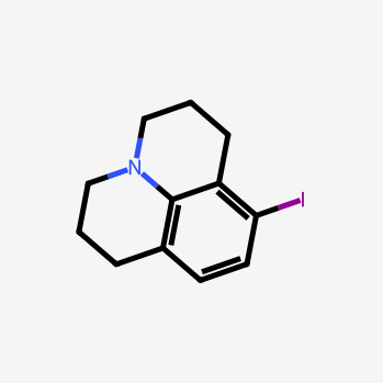 Ic1ccc2c3c1CCCN3CCC2